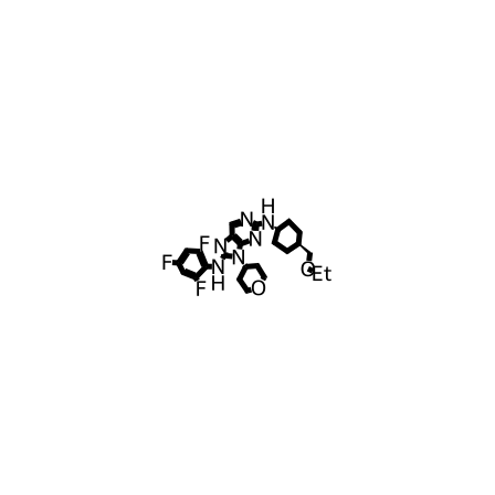 CCOC[C@H]1CC[C@H](Nc2ncc3nc(Nc4c(F)cc(F)cc4F)n(C4CCOCC4)c3n2)CC1